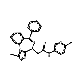 Cc1ccc(NC(=O)CC2N=C(c3ccccc3)c3ccccc3-n3c(C)nnc32)cn1